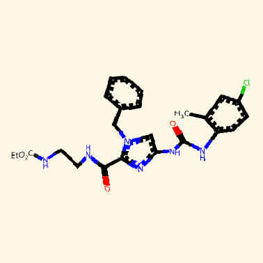 CCOC(=O)NCCNC(=O)c1nc(NC(=O)Nc2ccc(Cl)cc2C)cn1Cc1ccccc1